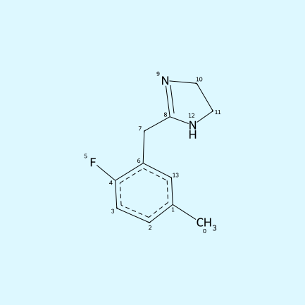 Cc1ccc(F)c(CC2=NCCN2)c1